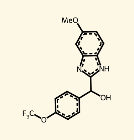 COc1ccc2[nH]c(C(O)c3ccc(OC(F)(F)F)cc3)nc2c1